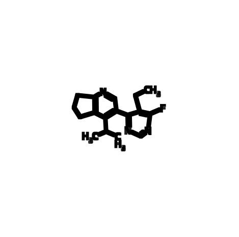 CCc1c(F)ncnc1-c1cnc2c(c1C(C)C)CCC2